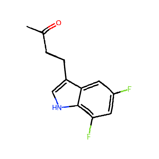 CC(=O)CCc1c[nH]c2c(F)cc(F)cc12